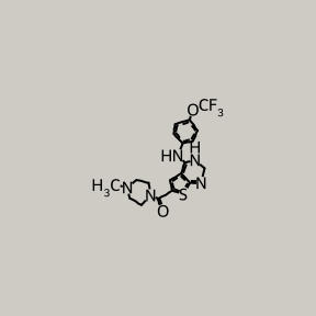 CN1CCN(C(=O)c2cc3c(s2)=NCNC=3Nc2ccc(OC(F)(F)F)cc2)CC1